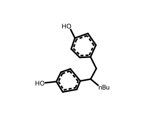 CCCCC(Cc1ccc(O)cc1)c1ccc(O)cc1